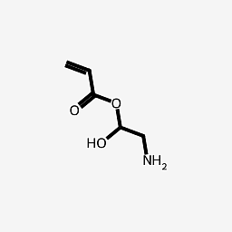 C=CC(=O)OC(O)CN